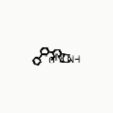 O=c1c(-c2cccc(-c3ccccc3)c2)ccc2n1CC1CNCC2C1